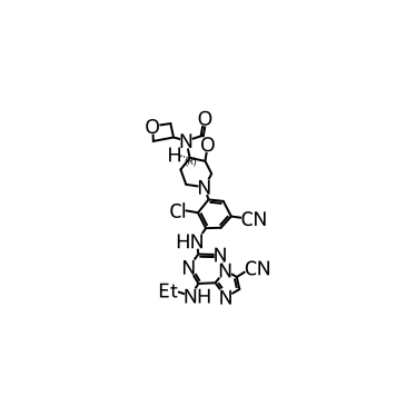 CCNc1nc(Nc2cc(C#N)cc(N3CC[C@@H]4C(C3)OC(=O)N4C3COC3)c2Cl)nn2c(C#N)cnc12